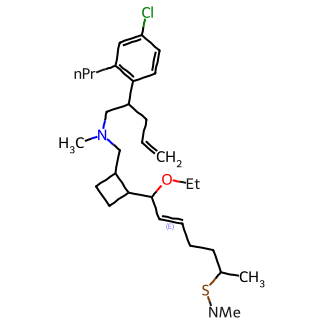 C=CCC(CN(C)CC1CCC1C(/C=C/CCC(C)SNC)OCC)c1ccc(Cl)cc1CCC